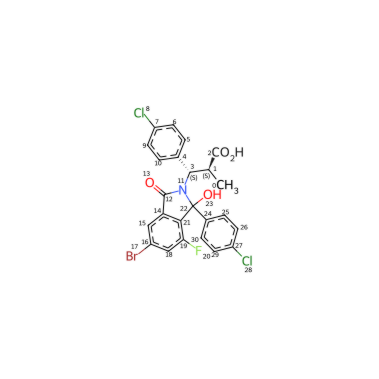 C[C@H](C(=O)O)[C@@H](c1ccc(Cl)cc1)N1C(=O)c2cc(Br)cc(F)c2C1(O)c1ccc(Cl)cc1